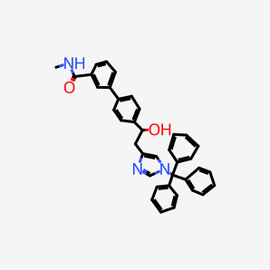 CNC(=O)c1cccc(-c2ccc(C(O)Cc3cn(C(c4ccccc4)(c4ccccc4)c4ccccc4)cn3)cc2)c1